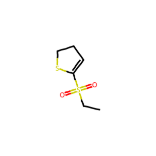 CCS(=O)(=O)C1=CCCS1